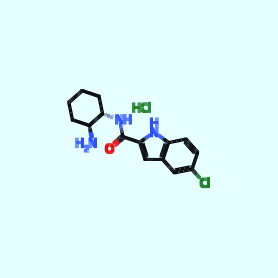 Cl.N[C@H]1CCCC[C@@H]1NC(=O)c1cc2cc(Cl)ccc2[nH]1